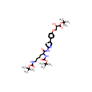 CC(C)(C)OC(=O)NCCCCC(NC(=O)OC(C)(C)C)C(=O)Nc1ccc(-c2ccc(OCC(O)C(=O)OC(C)(C)C)cc2)cn1